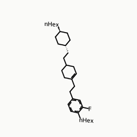 CCCCCCc1ccc(CCC2=CCC(CC[C@H]3CC[C@H](CCCCCC)CC3)CC2)cc1F